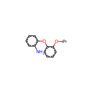 CC(C)Oc1ccccc1Oc1ccccc1N